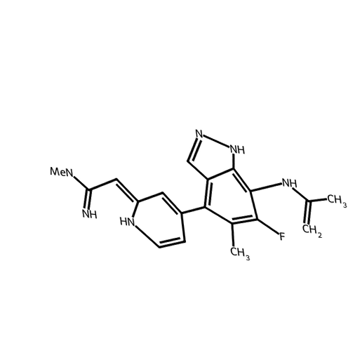 C=C(C)Nc1c(F)c(C)c(C2=C/C(=C/C(=N)NC)NC=C2)c2cn[nH]c12